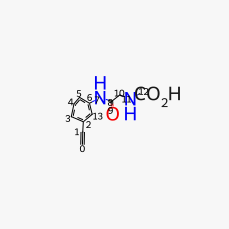 C#Cc1cccc(NC(=O)CNC(=O)O)c1